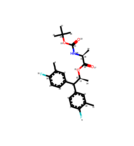 Cc1cc(C(c2ccc(F)c(C)c2)[C@H](C)OC(=O)[C@H](C)NC(=O)OC(C)(C)C)ccc1F